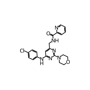 O=C(NCc1cc(Nc2ccc(Cl)cc2)nc(N2CCOCC2)n1)c1ccccn1